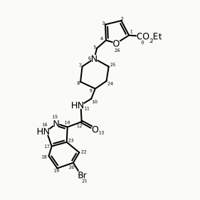 CCOC(=O)c1ccc(CN2CCC(CNC(=O)c3n[nH]c4ccc(Br)cc34)CC2)o1